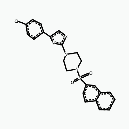 O=S(=O)(c1ccc2ccccc2c1)N1CCN(c2nc(-c3ccc(Cl)cc3)cs2)CC1